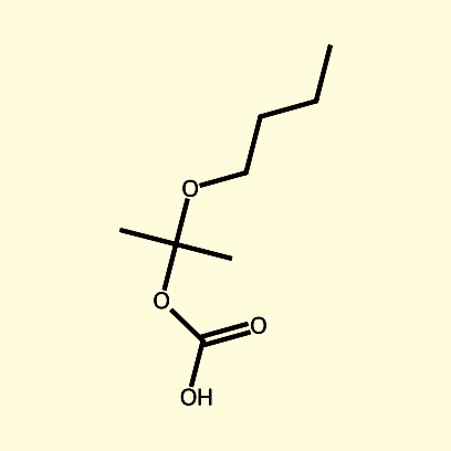 CCCCOC(C)(C)OC(=O)O